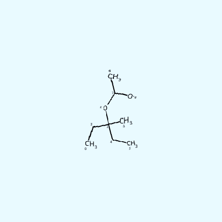 CCC(C)(CC)OC(C)[O]